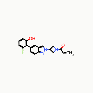 C=CC(=O)N1CC(n2cc3cc(-c4c(O)cccc4F)ccc3n2)C1